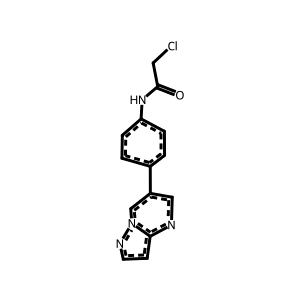 O=C(CCl)Nc1ccc(-c2cnc3ccnn3c2)cc1